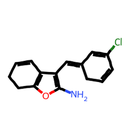 Nc1oc2c(c1/C=C1/C=C(Cl)C=CC1)C=CCC2